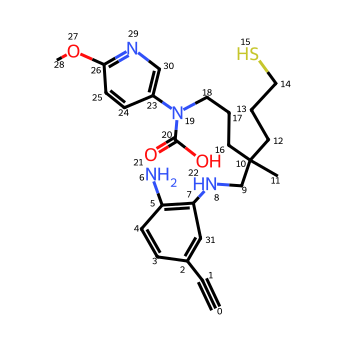 C#Cc1ccc(N)c(NCC(C)(CCCS)CCCN(C(=O)O)c2ccc(OC)nc2)c1